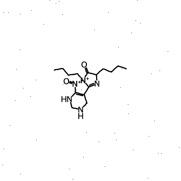 CCCCC1N=C2C3=C(NCNC3)[N+](=O)[N+]2(CCCC)C1=O